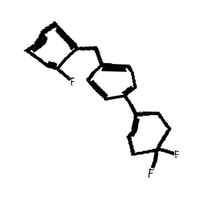 Fc1ccccc1Cc1ccc(C2=CCC(F)(F)CC2)cc1